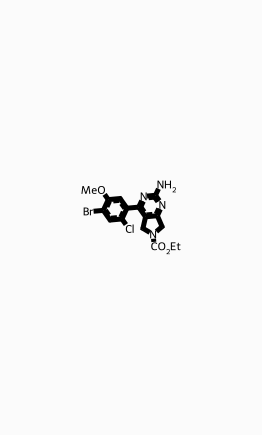 CCOC(=O)N1Cc2nc(N)nc(-c3cc(OC)c(Br)cc3Cl)c2C1